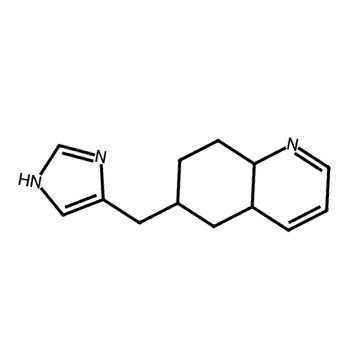 C1=CC2CC(Cc3c[nH]cn3)CCC2N=C1